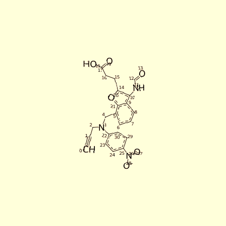 C#CCN(Cc1cccc2c(NC=O)c(CCC(=O)O)oc12)c1ccc([N+](=O)[O-])cc1